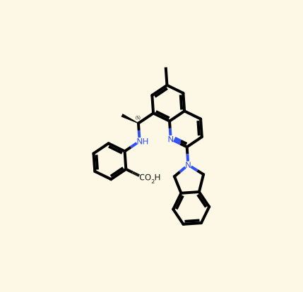 Cc1cc([C@H](C)Nc2ccccc2C(=O)O)c2nc(N3Cc4ccccc4C3)ccc2c1